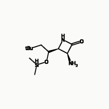 C[SiH](C)OC(CC(C)(C)C)[C@H]1NC(=O)[C@H]1N